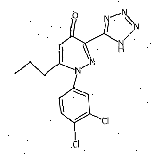 CCCc1cc(=O)c(-c2nnn[nH]2)nn1-c1ccc(Cl)c(Cl)c1